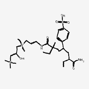 CCC(CC(CC(C)(CC)C(=O)NCCC[N+](C)(C)CC(O)C[N+](C)(C)C)c1ccc(S(=O)(=O)O)cc1)C(N)=O